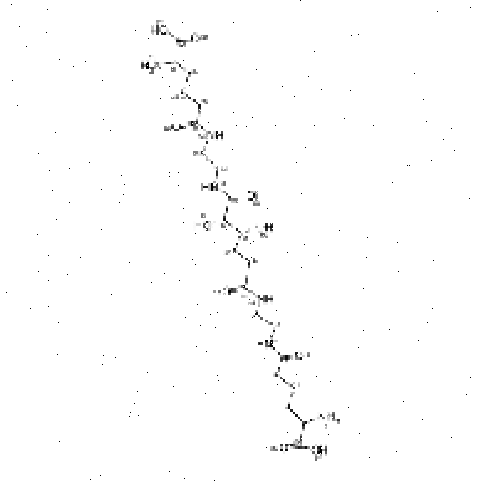 NC(CSCC(=O)NCCNC(=O)CC[C@@H](O)[C@H](O)C(O)NCCNC(=O)CSCC(N)C(=O)O)C(=O)O